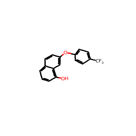 Oc1cccc2ccc(Oc3ccc(C(F)(F)F)cc3)cc12